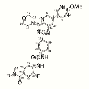 COc1ncc(-c2cnc3c(N4CCOCC4)nc(-c4ccc(NC(=O)Nc5ccc(C(=O)N(C)C)cc5F)cc4)nc3c2)cn1